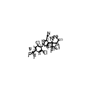 N#Cc1nn(-c2c(Cl)cc(C(F)(F)F)cc2Cl)cc1C1(C(F)(F)Cl)CCN=N1